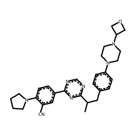 CC(Cc1ccc(N2CCN(C3COC3)CC2)cc1)c1ncnc(-c2ccc(N3CCCC3)c(C#N)c2)n1